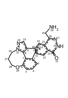 N#Cc1cccc2c1-c1c(-c3ccc4c(=O)[nH]nc(CN)c4c3)cnn1CCCO2